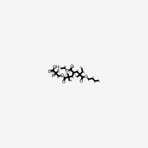 CCCCOC(=O)C(C)(CC)CC(CC(C)(C)C(=O)OCC(F)(F)C(=O)O)C(=O)OCC